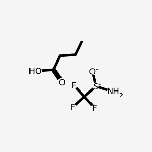 CCCC(=O)O.N[S+]([O-])C(F)(F)F